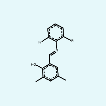 Cc1cc(C)c(O)c(/C=N/c2c(C(C)C)cccc2C(C)C)c1